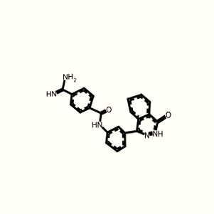 N=C(N)c1ccc(C(=O)Nc2cccc(-c3n[nH]c(=O)c4ccccc34)c2)cc1